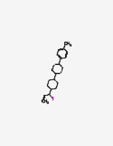 C=CC(I)C1CCC(C2CCC(c3ccc(C)cc3)CC2)CC1